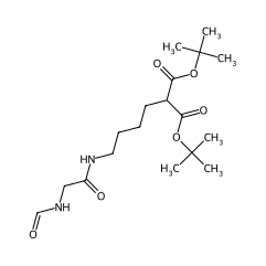 CC(C)(C)OC(=O)C(CCCCNC(=O)CNC=O)C(=O)OC(C)(C)C